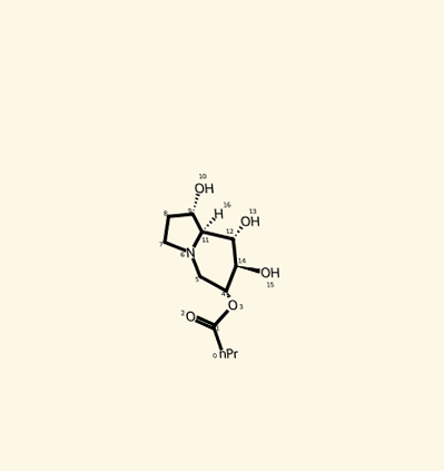 CCCC(=O)O[C@@H]1CN2CC[C@H](O)[C@H]2[C@H](O)[C@H]1O